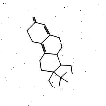 CCC1[C@@H]2CCC3=CC(=O)CCC3=C2CCC1(CC)C(C)(C)O